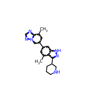 Cc1cc(-c2cc(C)c3ncnn3c2)cc2[nH]nc(C3CCCNC3)c12